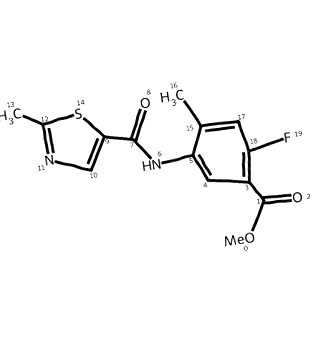 COC(=O)c1cc(NC(=O)c2cnc(C)s2)c(C)cc1F